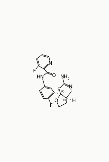 NC1=NC[C@H]2CCO[C@@]2(c2cc(NC(=O)c3ncccc3F)ccc2F)S1